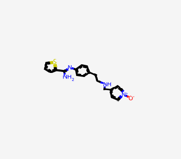 N/C(=N\c1ccc(CCNCc2cc[n+]([O-])cc2)cc1)c1cccs1